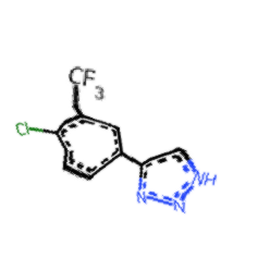 FC(F)(F)c1cc(-c2c[nH]nn2)ccc1Cl